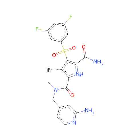 CC(C)c1c(C(=O)N(C)Cc2ccnc(N)c2)[nH]c(C(N)=O)c1S(=O)(=O)c1cc(F)cc(F)c1